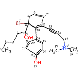 CCCCC(O)C1(Br)CC=CC(C#CCN(C)C)=C1c1ccc(O)cc1